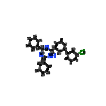 Clc1cccc(-c2cccc(C3N=C(c4ccccc4)N=C(c4ccccc4)N3)c2)c1